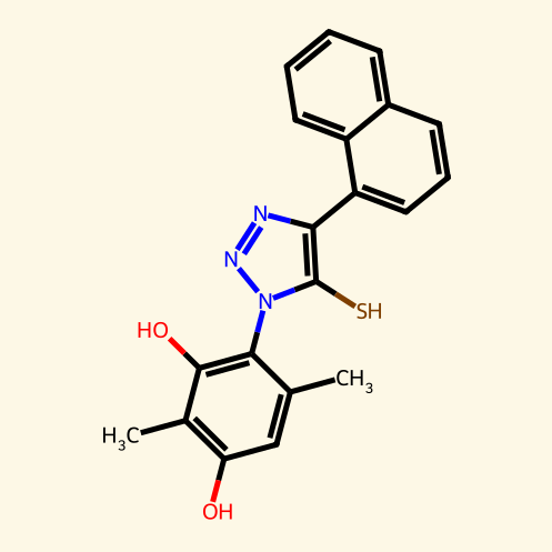 Cc1cc(O)c(C)c(O)c1-n1nnc(-c2cccc3ccccc23)c1S